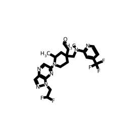 CC1CC(CC=O)(CN(C)c2cc(C(F)(F)F)ccn2)CCN1c1cnc2cnn(CC(F)F)c2n1